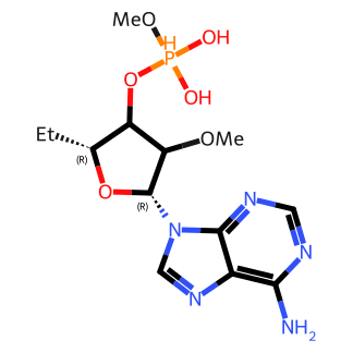 CC[C@H]1O[C@@H](n2cnc3c(N)ncnc32)C(OC)C1O[PH](O)(O)OC